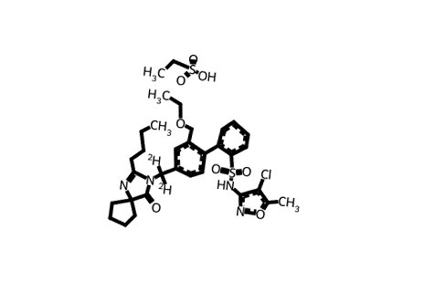 CCS(=O)(=O)O.[2H]C([2H])(c1ccc(-c2ccccc2S(=O)(=O)Nc2noc(C)c2Cl)c(COCC)c1)N1C(=O)C2(CCCC2)N=C1CCCC